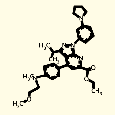 CCOC(=O)c1cc(-c2ccc(N(C)CCOC)cc2)c2c(C(C)C)nn(-c3cccc(N4CCCC4)c3)c2n1